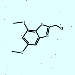 COc1cc(OC)c2sc(CCl)nc2c1